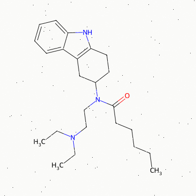 CCCCCC(=O)N(CCN(CC)CC)C1CCc2[nH]c3ccccc3c2C1